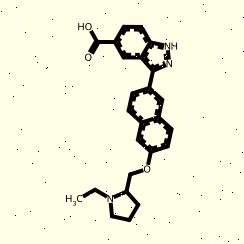 CCN1CCCC1COc1ccc2cc(-c3n[nH]c4ccc(C(=O)O)cc34)ccc2c1